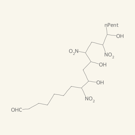 CCCCCC(O)C(CC(C(O)CC(O)C(CCCCCCC=O)[N+](=O)[O-])[N+](=O)[O-])[N+](=O)[O-]